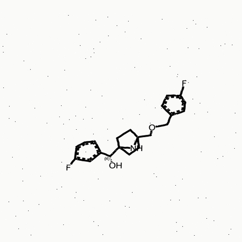 O[C@H](c1cccc(F)c1)C12CCC(COCc3ccc(F)cc3)(CC1)N2